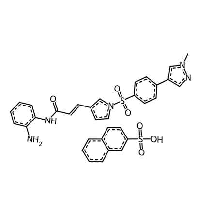 Cn1cc(-c2ccc(S(=O)(=O)n3ccc(/C=C/C(=O)Nc4ccccc4N)c3)cc2)cn1.O=S(=O)(O)c1ccc2ccccc2c1